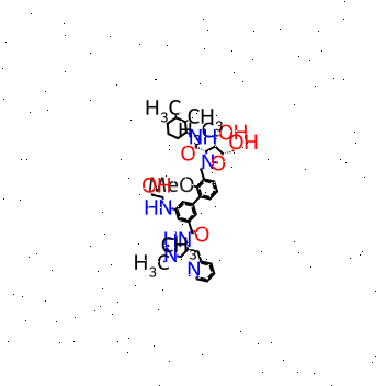 COc1c(CN2O[C@@H](CO)[C@@H]([C@H](C)O)[C@H]2C(=O)N[C@H]2CCC[C@H](C)[C@@H]2C)cccc1-c1cc(NCCO)cc(C(=O)N[C@@H](Cc2ccccn2)CN(C)C)c1